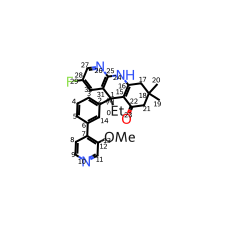 CC[C@]1(c2cccc(-c3ccncc3OC)c2)C2=C(CC(C)(C)CC2=O)Nc2ncc(F)cc21